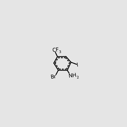 Nc1c(Br)cc(C(F)(F)F)cc1I